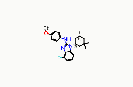 CCOc1ccc(Nc2nc3c(F)cccc3n2[C@@H]2C[C@H](C)CC(C)(C)C2)cc1